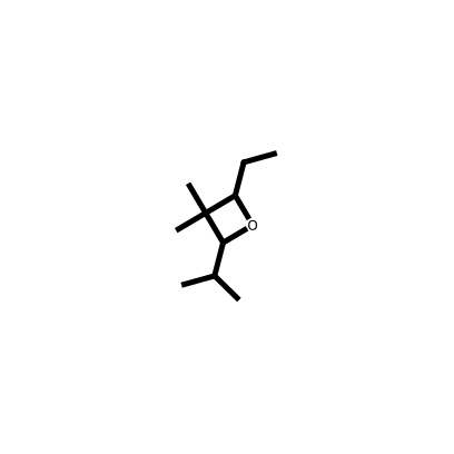 CCC1OC(C(C)C)C1(C)C